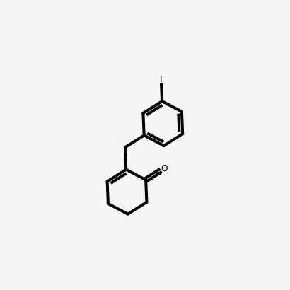 O=C1CCCC=C1Cc1cccc(I)c1